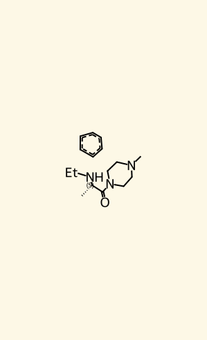 CCN[C@@H](C)C(=O)N1CCN(C)CC1.c1ccccc1